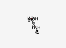 C=C[C@@]12CC[C@@]3(NCCN4CCS(=O)(=O)CC4)CC[C@@H](C(=C)C)C3[C@H]1CCC1[C@@]3(C)CC=C(C4=CC[C@](C(=C)Oc5ncccc5C#N)(C(O)O)CC4)C(C)(C)C3CC[C@]12C